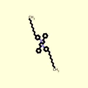 CCCCCCCCCCc1ccc(-n2c(-c3ccccc3)cc3c2cc(-c2ccccc2)n3-c2ccc(CCCCCCCCCC)cc2)cc1